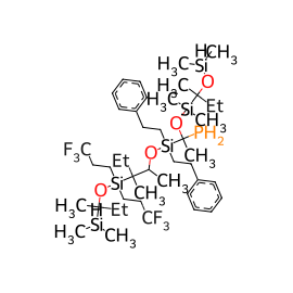 CCC(C)(O[Si](CCC(F)(F)F)(CCC(F)(F)F)C(C)(CC)C(C)O[Si](CCc1ccccc1)(CCc1ccccc1)C(C)(P)O[Si](C)(C)C(C)(CC)O[SiH](C)C)[SiH](C)C